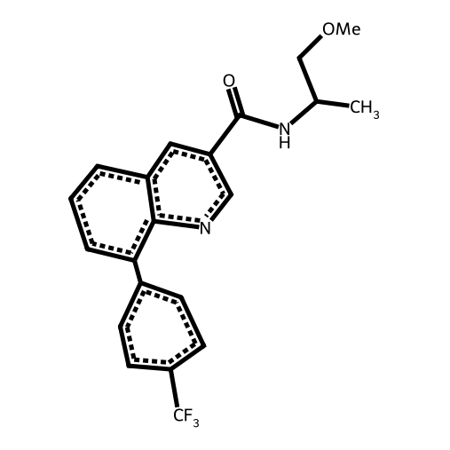 COCC(C)NC(=O)c1cnc2c(-c3ccc(C(F)(F)F)cc3)cccc2c1